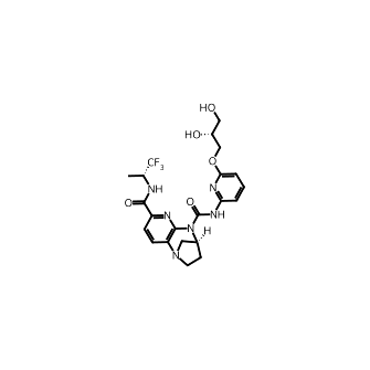 C[C@@H](NC(=O)c1ccc2c(n1)N(C(=O)Nc1cccc(OC[C@H](O)CO)n1)[C@H]1CCN2C1)C(F)(F)F